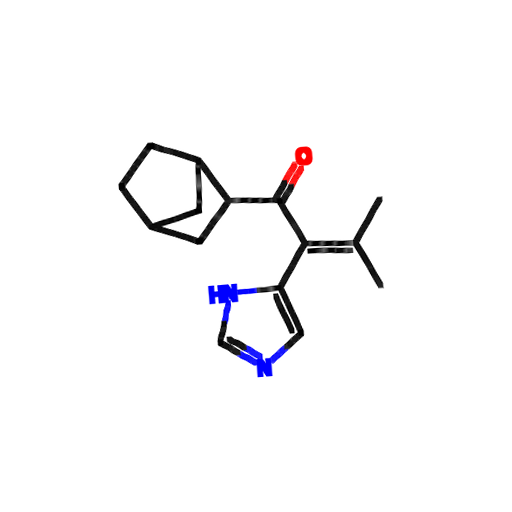 CC(C)=C(C(=O)C1CC2CCC1C2)c1cnc[nH]1